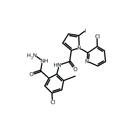 Cc1cc(Cl)cc(C(=O)NN)c1NC(=O)c1ccc(I)n1-c1ncccc1Cl